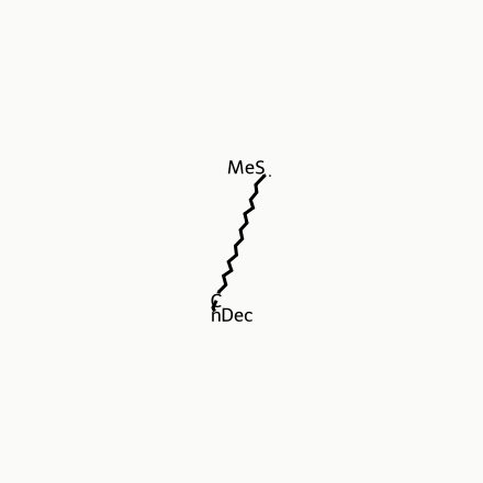 CCCCCCCCCCCCCCCCCCCCCCCCCCC[CH]SC